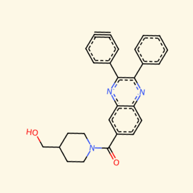 O=C(c1ccc2nc(-c3ccccc3)c(-c3cc#ccc3)nc2c1)N1CCC(CO)CC1